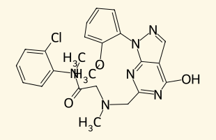 COc1ccccc1-n1ncc2c(O)nc(CN(C)CC(=O)N(C)c3ccccc3Cl)nc21